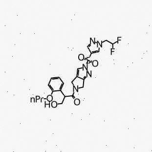 CCCOc1ccccc1C(CO)C(=O)N1Cc2cn(S(=O)(=O)c3cnn(CC(F)F)c3)nc2C1